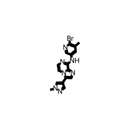 Cc1cc(Nc2nccn3c(-c4cnn(C)c4)cnc23)cnc1Br